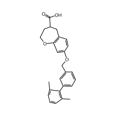 Cc1cccc(C)c1-c1cccc(COc2ccc3c(c2)OCCC(C(=O)O)C3)c1